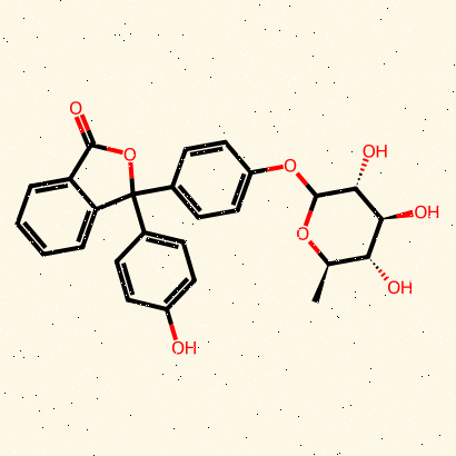 C[C@H]1OC(Oc2ccc(C3(c4ccc(O)cc4)OC(=O)c4ccccc43)cc2)[C@H](O)[C@@H](O)[C@@H]1O